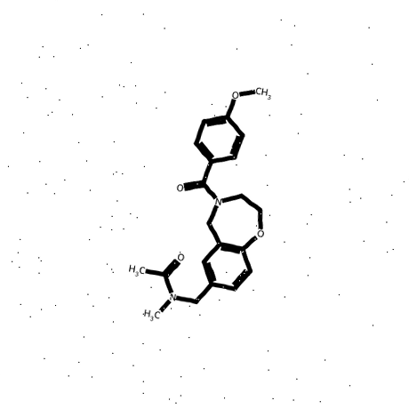 COc1ccc(C(=O)N2CCOc3ccc(CN(C)C(C)=O)cc3C2)cc1